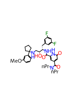 CCCN(CCC)C(=O)c1cc(C(=O)N[C@@H](Cc2cc(F)cc(F)c2)[C@H](O)CNC2(c3cccc(OC)c3)CCCC2)[nH]c(=O)c1